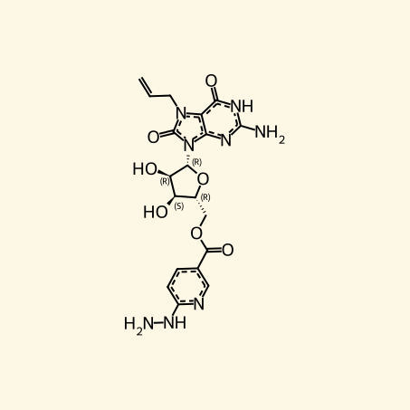 C=CCn1c(=O)n([C@@H]2O[C@H](COC(=O)c3ccc(NN)nc3)[C@@H](O)[C@H]2O)c2nc(N)[nH]c(=O)c21